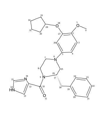 COc1ccc(N2CCN(C(=O)c3c[nH]cn3)[C@@H](Cc3ccccc3)C2)cc1OC1CCCC1